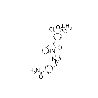 CS(=O)(=O)c1ccc([C@@H](CC2CCCC2)C(=O)Nc2ccn(Cc3ccc(C(N)=O)cc3)n2)cc1Cl